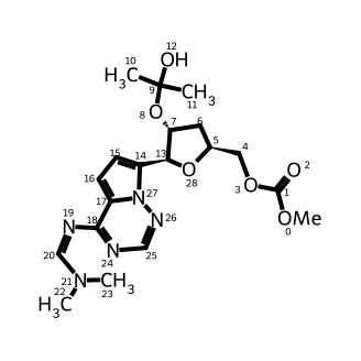 COC(=O)OC[C@@H]1C[C@@H](OC(C)(C)O)[C@H](c2ccc3c(/N=C\N(C)C)ncnn23)O1